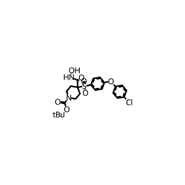 CC(C)(C)OC(=O)N1CCC(C(=O)NO)(S(=O)(=O)c2ccc(Oc3ccc(Cl)cc3)cc2)CC1